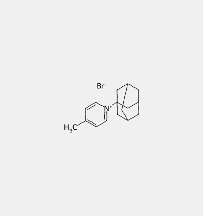 Cc1cc[n+](C23CC4CC(CC(C4)C2)C3)cc1.[Br-]